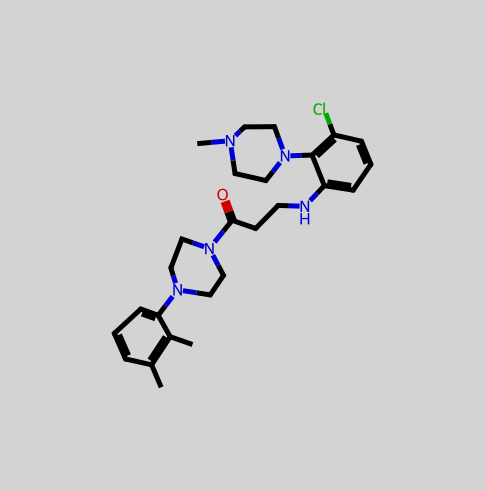 Cc1cccc(N2CCN(C(=O)CCNc3cccc(Cl)c3N3CCN(C)CC3)CC2)c1C